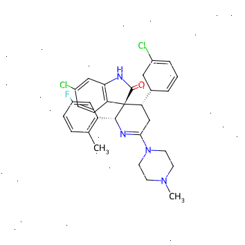 Cc1ccc(F)cc1[C@H]1N=C(N2CCN(C)CC2)C[C@@H](C2C=CC=C(Cl)C2)[C@]12C(=O)Nc1cc(Cl)ccc12